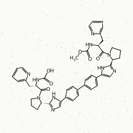 COC(=O)N[C@@H](Cc1ccccn1)C(=O)N1CCC[C@H]1c1ncc(-c2ccc(-c3ccc(-c4cnc([C@@H]5CCCN5C(=O)[C@H](Cc5ccccn5)NC(=O)O)[nH]4)cc3)cc2)[nH]1